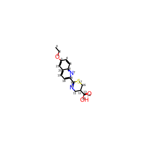 CCOc1ccc2nc(C3=NCC(C(=O)O)CS3)ccc2c1